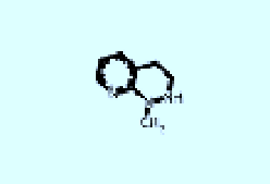 CN1NCCc2cccnc21